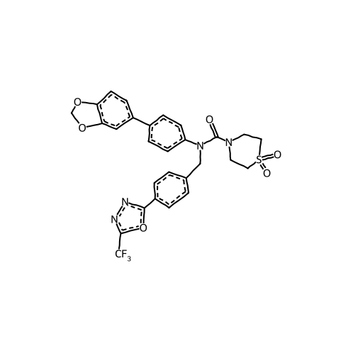 O=C(N1CCS(=O)(=O)CC1)N(Cc1ccc(-c2nnc(C(F)(F)F)o2)cc1)c1ccc(-c2ccc3c(c2)OCO3)cc1